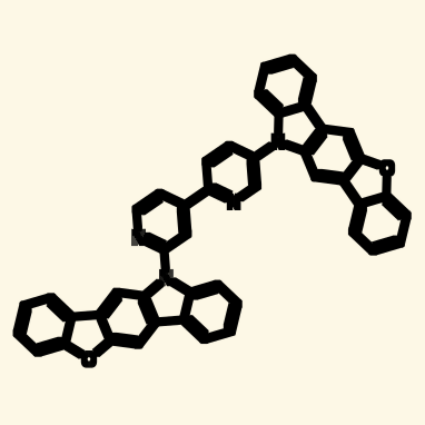 c1ccc2c(c1)oc1cc3c4ccccc4n(-c4ccc(-c5ccnc(-n6c7ccccc7c7cc8oc9ccccc9c8cc76)c5)nc4)c3cc12